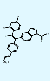 CCC(=C(c1ccc(C=CC(=O)O)cc1)c1ccc2c(cnn2C(=O)C(C)C)c1)c1ccc(F)cc1Cl